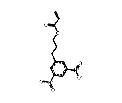 C=CC(=O)OCCCc1cc([N+](=O)[O-])cc([N+](=O)[O-])c1